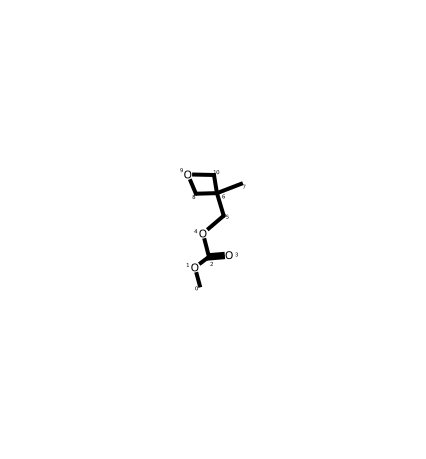 COC(=O)OCC1(C)COC1